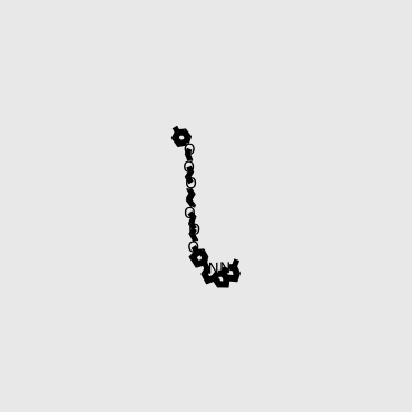 Cc1ccc(OCCOCCOCC=CCOCCOCCOc2ccc(-c3ccc4ccc5ccc(C)nc5c4n3)cc2)cc1